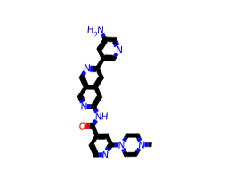 CN1CCN(c2cc(C(=O)Nc3cc4cc(-c5cncc(N)c5)ncc4cn3)ccn2)CC1